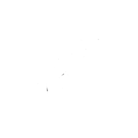 CC(=O)[C@]1(O)[C@@](O)(C(C)=O)CS[C@H](Oc2cccc(-c3ccsc3)c2)[C@@]1(O)C(C)=O